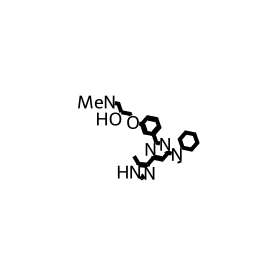 CNCC(O)COc1cccc(-c2nc(-c3nc[nH]c3C)cc(N(C)C3CCCCC3)n2)c1